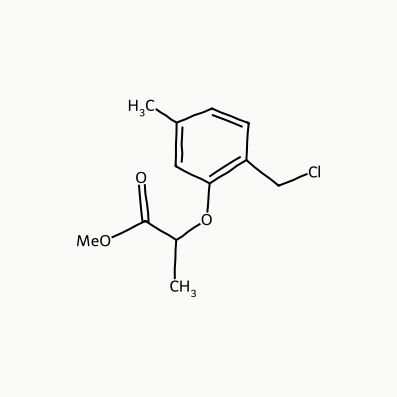 COC(=O)C(C)Oc1cc(C)ccc1CCl